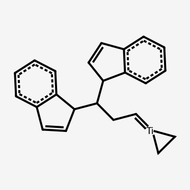 C1=CC(C(C[CH]=[Ti]2[CH2][CH2]2)C2C=Cc3ccccc32)c2ccccc21